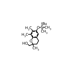 Cc1c(O[Si](C)(C)C(C)(C)C)cc2c(c1C)OC(C)(CO)CC2